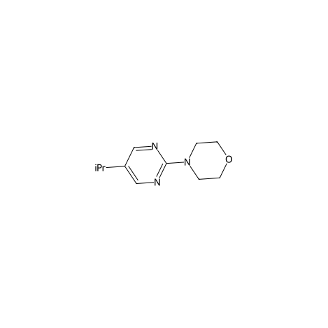 CC(C)c1cnc(N2CCOCC2)nc1